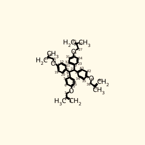 C=C(C)COc1ccc(C(c2ccc(OCC(=C)C)cc2)C(c2ccc(OCC(=C)C)cc2)c2ccc(OCC(=C)C)cc2)cc1